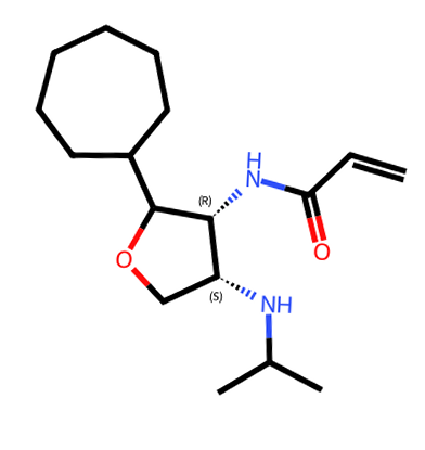 C=CC(=O)N[C@H]1C(C2CCCCCC2)OC[C@H]1NC(C)C